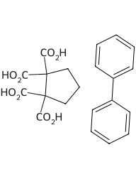 O=C(O)C1(C(=O)O)CCCC1(C(=O)O)C(=O)O.c1ccc(-c2ccccc2)cc1